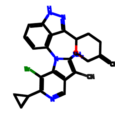 C=C1CCC(c2n[nH]c3cccc(-n4c(N)c(C#N)c5cnc(C6CC6)c(Br)c54)c23)OC1